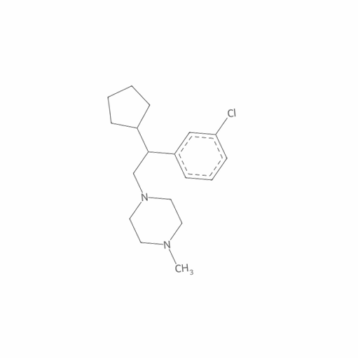 CN1CCN(CC(c2cccc(Cl)c2)C2CCCC2)CC1